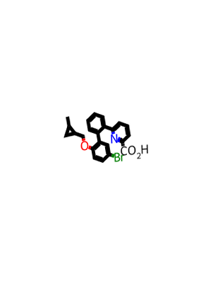 CC1CC1COc1ccc(Br)cc1-c1ccccc1-c1cccc(C(=O)O)n1